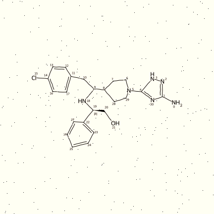 Nc1n[nH]c(N2CCC(C(Cc3ccc(Cl)cc3)N[C@@H](CO)c3ccccc3)CC2)n1